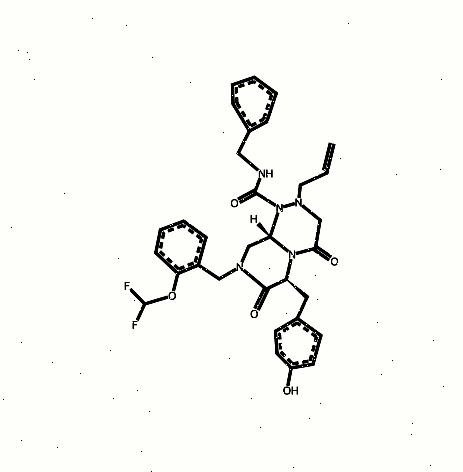 C=CCN1CC(=O)N2[C@@H](Cc3ccc(O)cc3)C(=O)N(Cc3ccccc3OC(F)F)C[C@@H]2N1C(=O)NCc1ccccc1